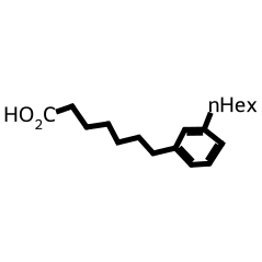 CCCCCCc1cccc(CCCCCCC(=O)O)c1